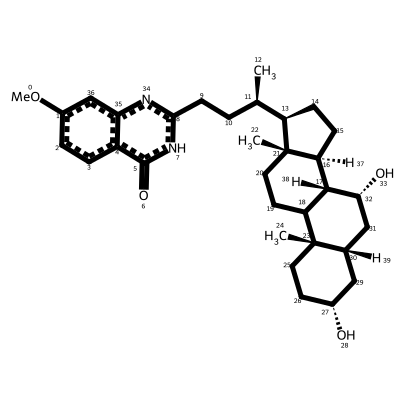 COc1ccc2c(=O)[nH]c(CC[C@@H](C)[C@H]3CC[C@H]4[C@H]5C(CC[C@]34C)[C@@]3(C)CC[C@@H](O)C[C@H]3C[C@H]5O)nc2c1